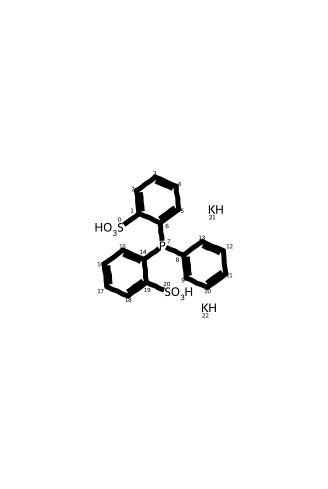 O=S(=O)(O)c1ccccc1P(c1ccccc1)c1ccccc1S(=O)(=O)O.[KH].[KH]